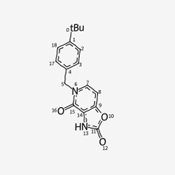 CC(C)(C)c1ccc(Cn2ccc3oc(=O)[nH]c3c2=O)cc1